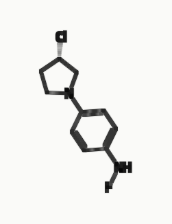 FNc1ccc(N2CC[C@H](Cl)C2)cc1